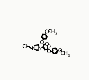 COc1ccc(OC(=O)/C=C(\C(=O)Oc2ccc(OC)cc2)N2CCN(CCCl)CC2)cc1